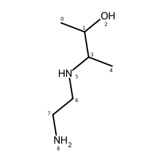 CC(O)C(C)NCCN